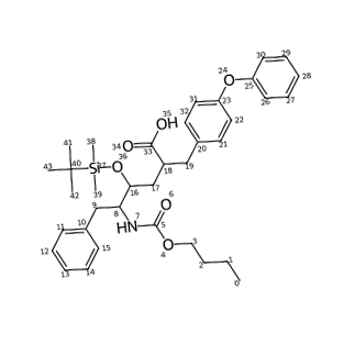 CCCCOC(=O)NC(Cc1ccccc1)C(CC(Cc1ccc(Oc2ccccc2)cc1)C(=O)O)O[Si](C)(C)C(C)(C)C